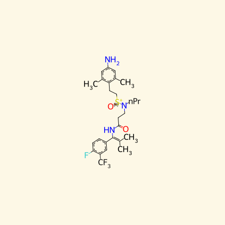 CCCN(CCC(=O)NC(=C(C)C)c1ccc(F)c(C(F)(F)F)c1)[S@@+]([O-])CCc1c(C)cc(N)cc1C